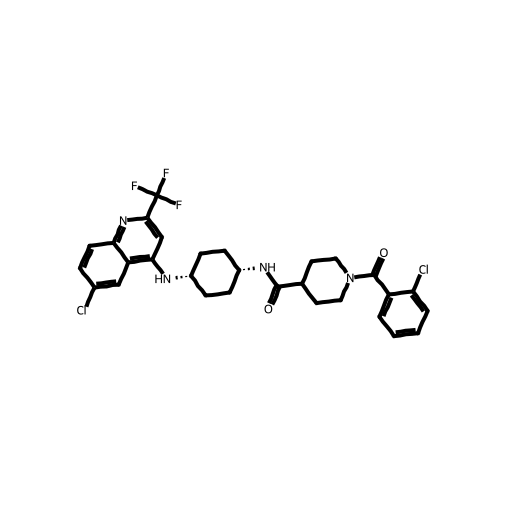 O=C(N[C@H]1CC[C@@H](Nc2cc(C(F)(F)F)nc3ccc(Cl)cc23)CC1)C1CCN(C(=O)c2ccccc2Cl)CC1